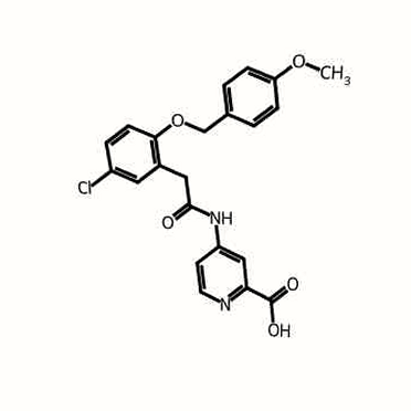 COc1ccc(COc2ccc(Cl)cc2CC(=O)Nc2ccnc(C(=O)O)c2)cc1